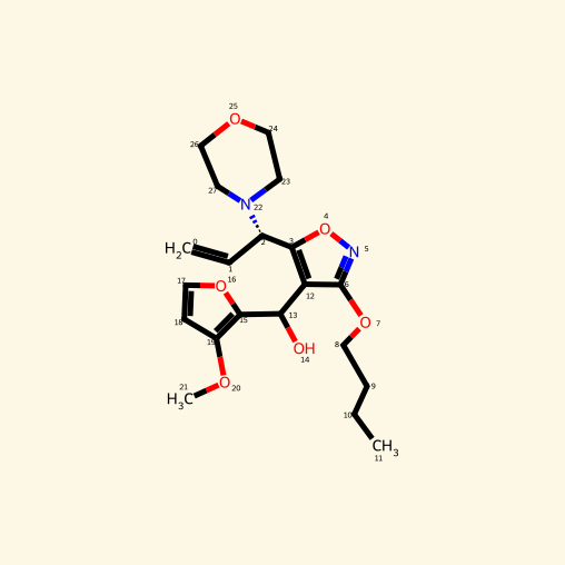 C=C[C@@H](c1onc(OCCCC)c1C(O)c1occc1OC)N1CCOCC1